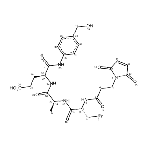 CC(C)C[C@@H](NC(=O)CCN1C(=O)C=CC1=O)C(=O)N[C@@H](C)C(=O)N[C@@H](CCC(=O)O)C(=O)Nc1ccc(CO)cc1